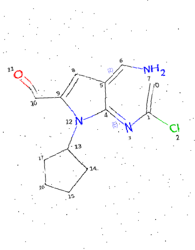 C=C(Cl)/N=C1\C(=C/N)C=C(C=O)N1C1CCCC1